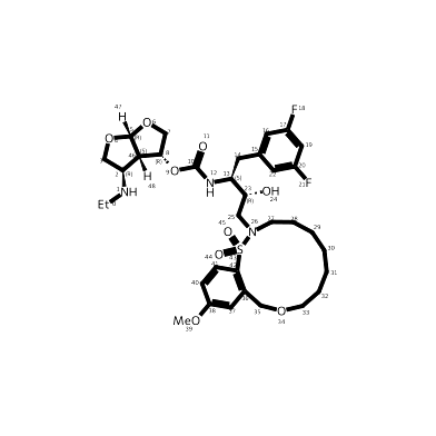 CCN[C@H]1CO[C@@H]2OC[C@H](OC(=O)N[C@@H](Cc3cc(F)cc(F)c3)[C@H](O)CN3CCCCCCCOCc4cc(OC)ccc4S3(=O)=O)[C@@H]21